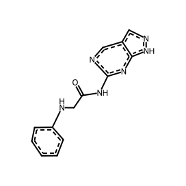 O=C(CNc1ccccc1)Nc1ncc2cn[nH]c2n1